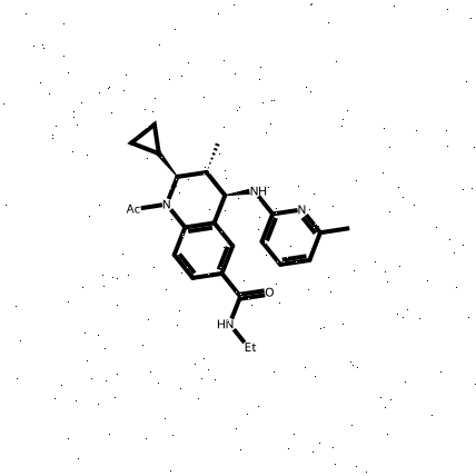 CCNC(=O)c1ccc2c(c1)[C@H](Nc1cccc(C)n1)[C@@H](C)[C@H](C1CC1)N2C(C)=O